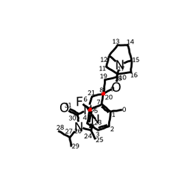 Cc1cccc(F)c1COC1CC2CCC(C1)N2CCCCn1nc(C)n(C(C)C)c1=O